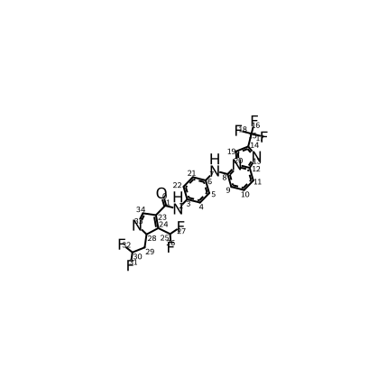 O=C(Nc1ccc(Nc2cccc3nc(C(F)(F)F)cn23)cc1)C1=C(C(F)F)C(CC(F)F)N=C1